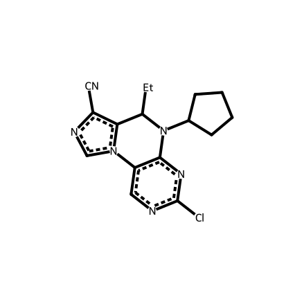 CCC1c2c(C#N)ncn2-c2cnc(Cl)nc2N1C1CCCC1